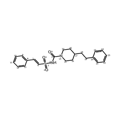 O=C(NS(=O)(=O)C=Cc1ccccc1)N1CCC(CCc2ccccc2)CC1